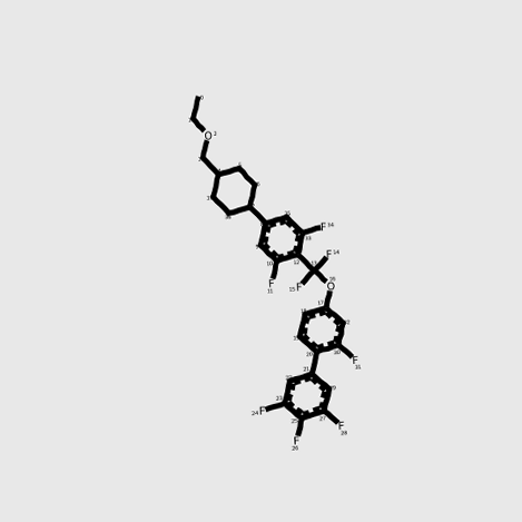 CCOCC1CCC(c2cc(F)c(C(F)(F)Oc3ccc(-c4cc(F)c(F)c(F)c4)c(F)c3)c(F)c2)CC1